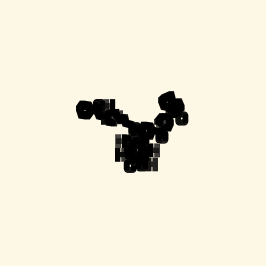 O=C(O)C(=O)O.O=C(O)C(=O)O.O=C(c1ccc(OCCCN2CCN(CC(O)c3ccccc3)CC2)cc1)N1CCC(N2C(=O)CCc3ccccc32)CC1